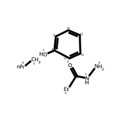 CCC(=O)NN.CCCC.Oc1ccccc1